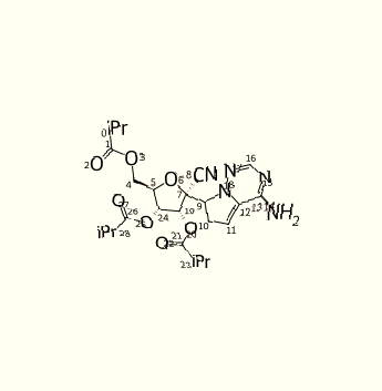 CC(C)C(=O)OC[C@H]1O[C@@](C#N)(C2CC=C3C(N)=NC=NN32)[C@H](OC(=O)C(C)C)[C@@H]1OC(=O)C(C)C